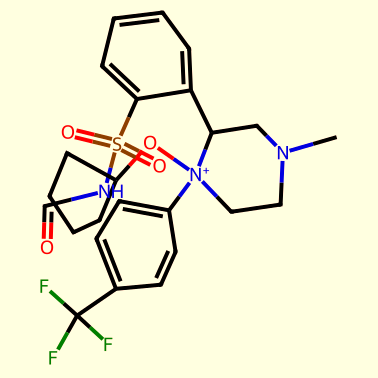 CN1CC[N+](OC2CCCC2)(c2ccc(C(F)(F)F)cc2)C(c2ccccc2S(=O)(=O)NC=O)C1